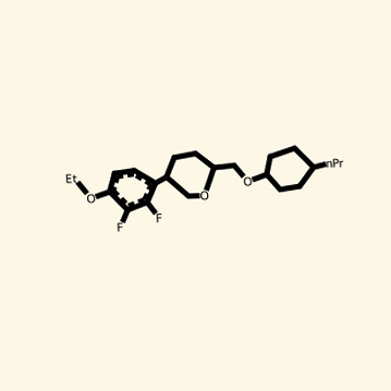 CCCC1CCC(OCC2CCC(c3ccc(OCC)c(F)c3F)CO2)CC1